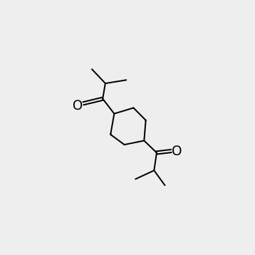 CC(C)C(=O)C1CCC(C(=O)C(C)C)CC1